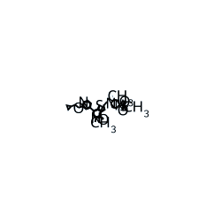 C[C@@H]1CN(S(C)(=O)=O)CCN1Cc1cc2c(=O)n(C)cc(-c3ccnc(OCC4CC4)c3)c2s1